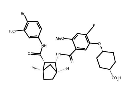 COc1cc(F)c(O[C@H]2CC[C@@H](C(=O)O)CC2)cc1C(=O)N[C@@H]1[C@H]2CC[C@H](C2)[C@@H]1C(=O)Nc1ccc(Br)c(C(F)(F)F)c1